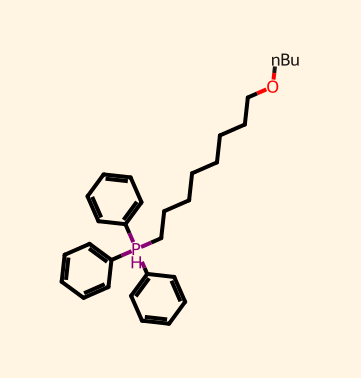 CCCCOCCCCCCCC[PH](c1ccccc1)(c1ccccc1)c1ccccc1